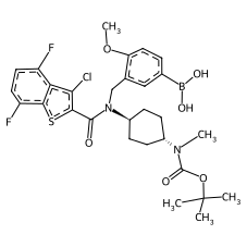 COc1ccc(B(O)O)cc1CN(C(=O)c1sc2c(F)ccc(F)c2c1Cl)[C@H]1CC[C@H](N(C)C(=O)OC(C)(C)C)CC1